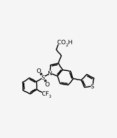 O=C(O)CCc1cn(S(=O)(=O)c2ccccc2C(F)(F)F)c2ccc(-c3ccsc3)cc12